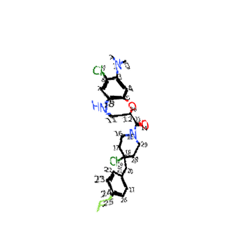 CN(C)c1cc2c(cc1Cl)NCC(C(=O)N1CCC(Cl)(Cc3ccc(F)cc3)CC1)O2